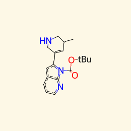 CC1C=C(c2cc3cccnc3n2C(=O)OC(C)(C)C)CNC1